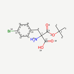 CC(C)(C)OC(=O)C(N)(Cc1ccc(Br)cc1)C(=O)O